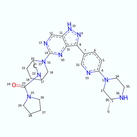 C[C@@H]1CN(c2ccc(-c3n[nH]c4cnc(N5CC6CCC5CN6C(=O)N5CCCC5)nc34)cn2)CCN1